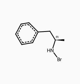 C[C@H](Cc1ccccc1)NBr